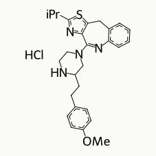 COc1ccc(CCC2CN(C3=Nc4ccccc4Cc4sc(C(C)C)nc43)CCN2)cc1.Cl